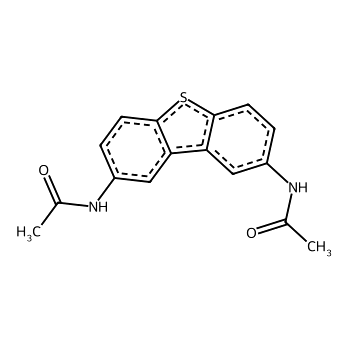 CC(=O)Nc1ccc2sc3ccc(NC(C)=O)cc3c2c1